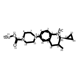 CC(=O)N1c2ccc(N3CCN(C(=O)OC(C)(C)C)CC3)cc2CC(C)[C@@H]1C1CC1